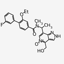 CCOc1cc(C(=O)N(C)C(C)c2c[n+]([O-])c(CO)c3c[nH]nc23)ccc1-c1cccc(F)c1